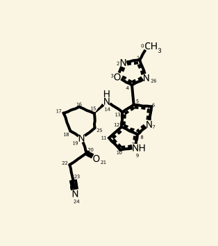 Cc1noc(-c2cnc3[nH]ccc3c2N[C@@H]2CCCN(C(=O)CC#N)C2)n1